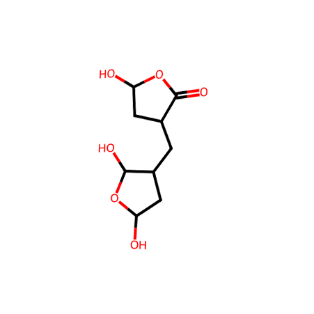 O=C1OC(O)CC1CC1CC(O)OC1O